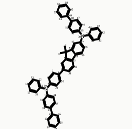 CC1(C)c2cc(-c3ccc(N(c4ccccc4)c4ccc(-c5ccccc5)cc4)cc3)ccc2-c2ccc(N(c3ccccc3)c3ccc(-c4ccccc4)cc3)cc21